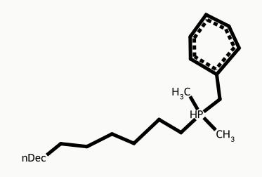 CCCCCCCCCCCCCCCC[PH](C)(C)Cc1ccccc1